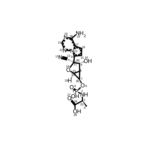 C[C@H](NP(=O)(O)O[C@@H]1C2[C@@H](O)[C@](C#N)(c3ccc4c(N)ncnn34)O[C@@H]21)C(=O)O